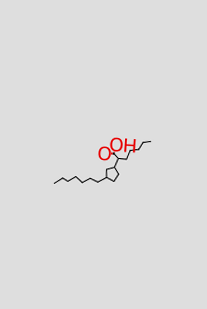 CCCCCCCC1CCC(C(CCCCC)C(=O)O)C1